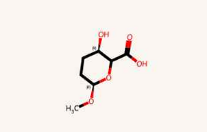 CO[C@H]1CC[C@@H](O)C(C(=O)O)O1